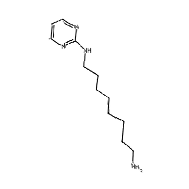 NCCCCCCCCNc1n[c]ccn1